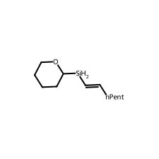 CCCCCC=C[SiH2]C1CCCCO1